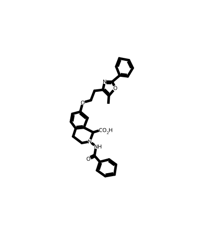 Cc1oc(-c2ccccc2)nc1CCOc1ccc2c(c1)C(C(=O)O)N(NC(=O)c1ccccc1)CC2